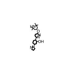 CC1(C)CC(Oc2ccc(-c3ccc(-n4cccn4)cc3O)nn2)CC(C)(C)N1